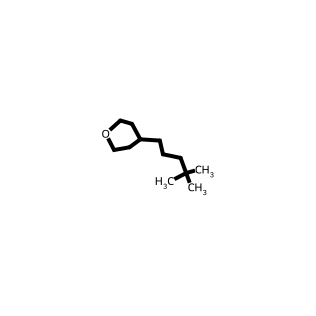 CC(C)(C)CCCC1CCOCC1